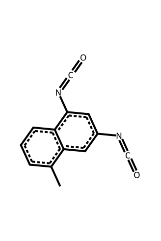 Cc1cccc2c(N=C=O)cc(N=C=O)cc12